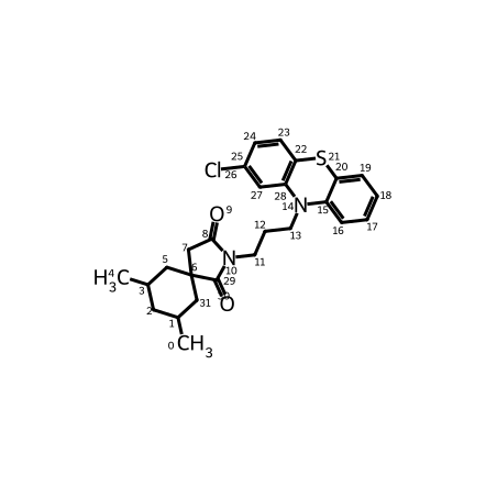 CC1CC(C)CC2(CC(=O)N(CCCN3c4ccccc4Sc4ccc(Cl)cc43)C2=O)C1